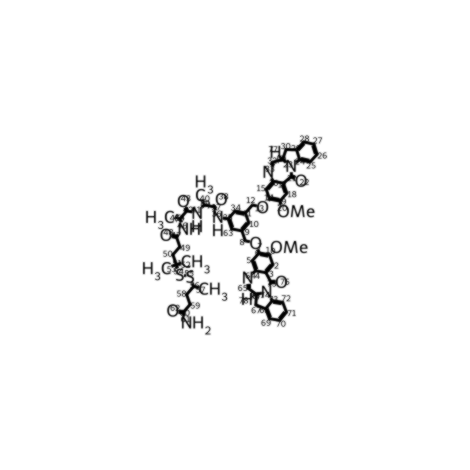 COc1cc2c(cc1OCc1cc(COc3cc4c(cc3OC)C(=O)N3c5ccccc5C[C@H]3C=N4)cc(NC(=O)[C@H](C)NC(=O)[C@H](C)NC(=O)CCC(C)(C)SSC(C)CCC(N)=O)c1)N=C[C@@H]1Cc3ccccc3N1C2=O